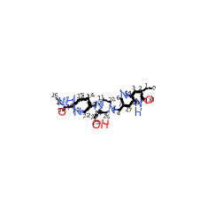 CCc1cc2ncc(CN3CCN(c4ccc(C(=O)NC)nc4)[C@H](CO)C3)cc2[nH]c1=O